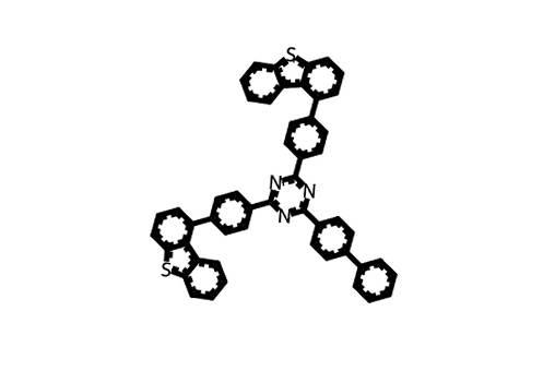 c1ccc(-c2ccc(-c3nc(-c4ccc(-c5cccc6sc7ccccc7c56)cc4)nc(-c4ccc(-c5cccc6sc7ccccc7c56)cc4)n3)cc2)cc1